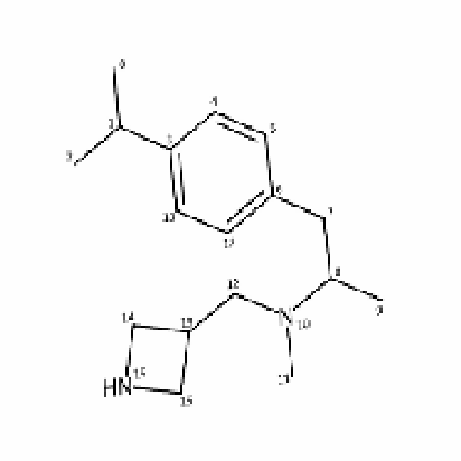 CC(C)c1ccc(CC(C)N(C)CC2CNC2)cc1